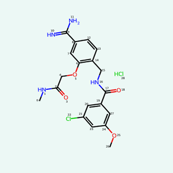 CNC(=O)COc1cc(C(=N)N)ccc1CNC(=O)c1cc(Cl)cc(OC)c1.Cl